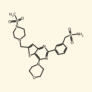 CS(=O)(=O)N1CCN(Cc2cc3nc(-c4cccc(CS(N)(=O)=O)c4)nc(N4CCOCC4)c3s2)CC1